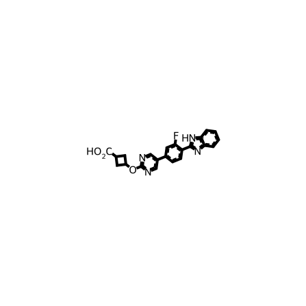 O=C(O)C1CC(Oc2ncc(-c3ccc(-c4nc5ccccc5[nH]4)c(F)c3)cn2)C1